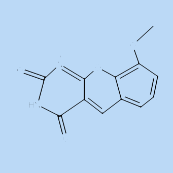 COc1cccc2cc3c(=O)[nH]c(=O)nc-3oc12